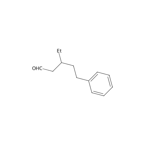 CCC(CC=O)CCc1ccccc1